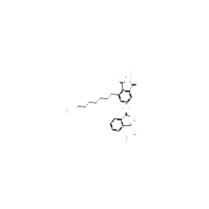 O=C1NC(=O)c2c(CCCCCCCBr)cccc21.O=C1[N-]C(=O)c2ccccc21.[K+]